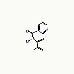 C=C(C)C(=O)N(CC)N(CC)c1ccccc1